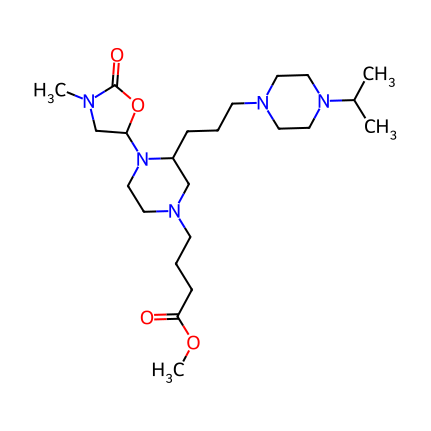 COC(=O)CCCN1CCN(C2CN(C)C(=O)O2)C(CCCN2CCN(C(C)C)CC2)C1